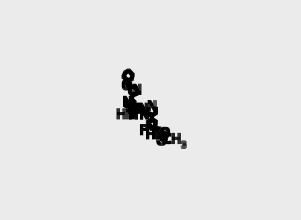 CS(=O)(=O)NCc1cc(F)cc(-c2ccnc3[nH]c(-c4n[nH]c5cnc(-c6cncc(OC7CCCCC7)c6)cc45)nc23)c1